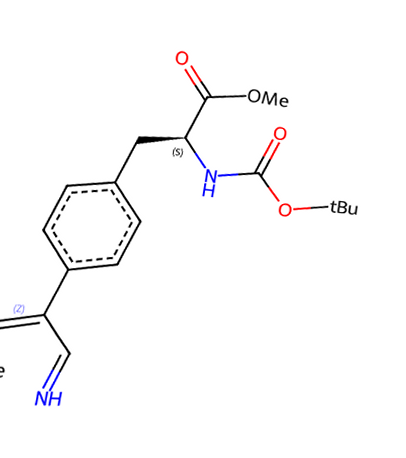 CN/C=C(\C=N)c1ccc(C[C@H](NC(=O)OC(C)(C)C)C(=O)OC)cc1